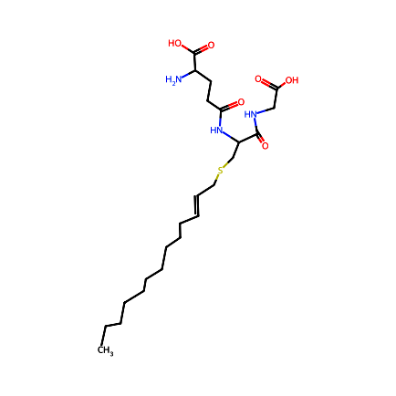 CCCCCCCCCCC=CCSCC(NC(=O)CCC(N)C(=O)O)C(=O)NCC(=O)O